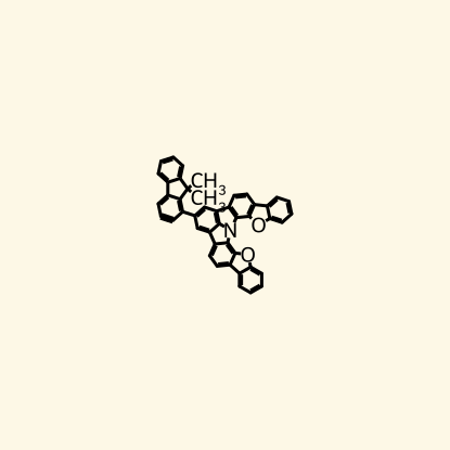 CC1(C)c2ccccc2-c2cc#cc(-c3cc4c5ccc6c7ccccc7oc6c5n5c4c(c3)c3ccc4c6ccccc6oc4c35)c21